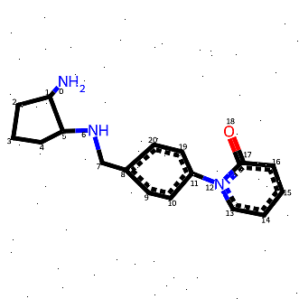 NC1CCCC1NCc1ccc(-n2ccccc2=O)cc1